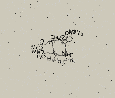 C=Cc1c(C)c2cc3nc(cc4[nH]c(cc5nc(cc1[nH]2)C(C)=C5CCC(O)OC)c(CCC(=O)OC)c4C)[C@@]1(C)C3=CC=C(C(=O)OC)[C@H]1C(=O)OC